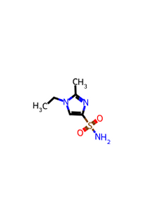 CCn1cc(S(N)(=O)=O)nc1C